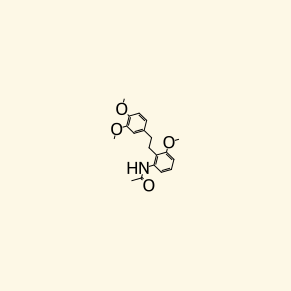 COc1ccc(CCc2c(NC(C)=O)cccc2OC)cc1OC